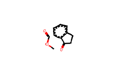 COC=O.O=C1CCc2ccccc21